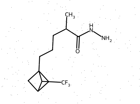 CC(CCCC12CC(C1)C2C(F)(F)F)C(=O)NN